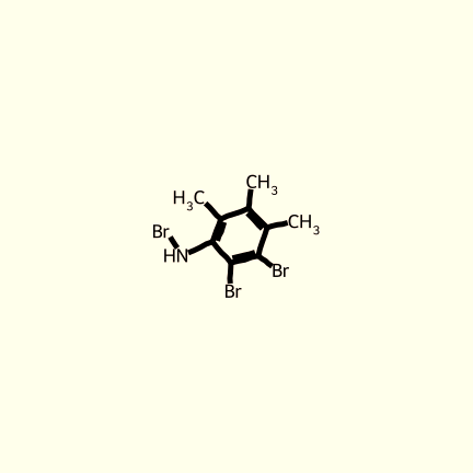 Cc1c(C)c(Br)c(Br)c(NBr)c1C